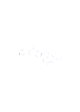 Cc1cc(C)c2oc(Nc3ccc(-c4cn(C)c5nc(N)nc(N)c45)cc3F)nc2c1